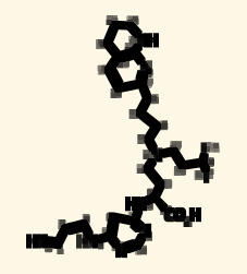 N=C/C=C\Nc1cc(N[C@@H](CCN(CCCCc2ccc3c(n2)NCCC3)CCC(F)F)C(=O)O)ncn1